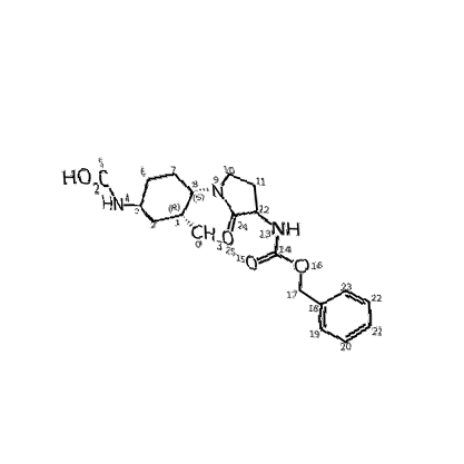 C[C@@H]1CC(NC(=O)O)CC[C@@H]1N1CCC(NC(=O)OCc2ccccc2)C1=O